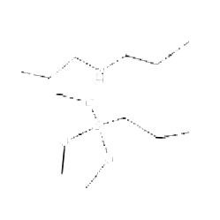 CCCNCCC.CCC[Si](OC)(OC)OC